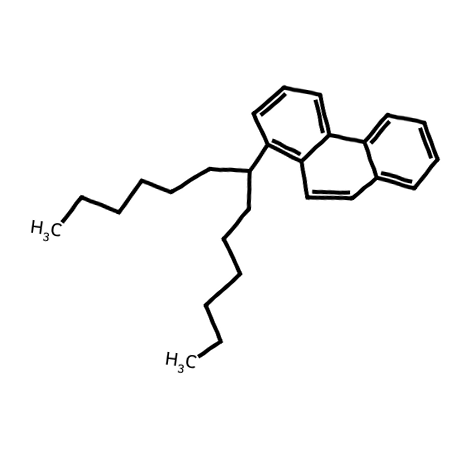 CCCCCCC(CCCCCC)c1cccc2c1ccc1ccccc12